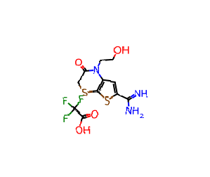 N=C(N)c1cc2c(s1)SCC(=O)N2CCO.O=C(O)C(F)(F)F